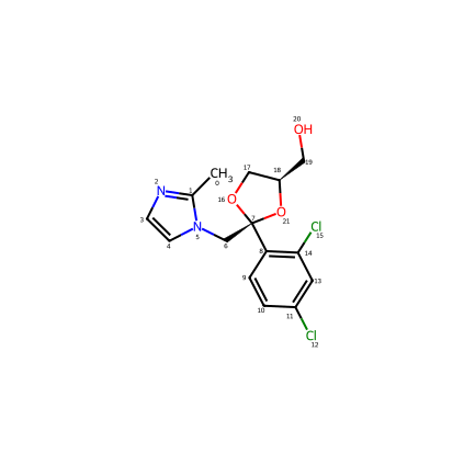 Cc1nccn1C[C@@]1(c2ccc(Cl)cc2Cl)OC[C@@H](CO)O1